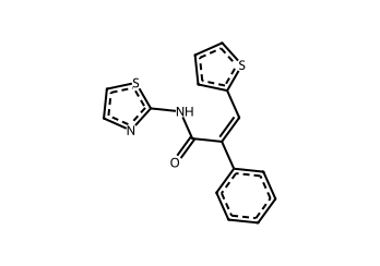 O=C(Nc1nccs1)C(=Cc1cccs1)c1ccccc1